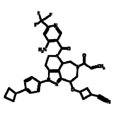 C=CC(=O)N1CC(OC2CC(C#N)C2)c2nn(-c3ccc(C4CCC4)cc3)c3c2C(C1)N(C(=O)c1cnc(C(F)(F)F)cc1N)CC3